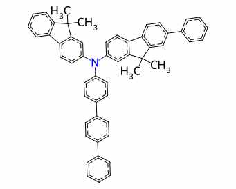 CC1(C)c2ccccc2-c2ccc(N(c3ccc(-c4ccc(-c5ccccc5)cc4)cc3)c3ccc4c(c3)C(C)(C)c3cc(-c5ccccc5)ccc3-4)cc21